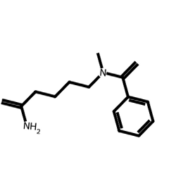 C=C(N)CCCCN(C)C(=C)c1ccccc1